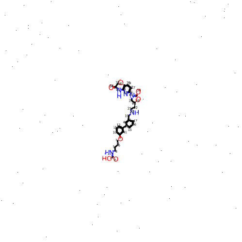 O=C(O)NCCCCOc1cccc(-c2cccc(CNCC[C@H]3CN(c4ccc5c(n4)NC(=O)CO5)C(=O)O3)c2)c1